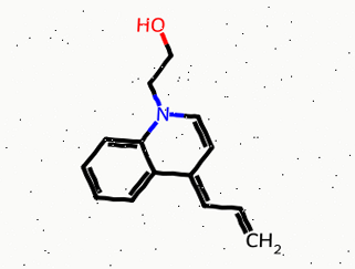 C=C/C=C1\C=CN(CCO)c2ccccc21